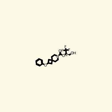 O=C(O[C@H](CO)C(F)(F)F)N1CCC2(CC1)CC(Oc1ccccc1)C2